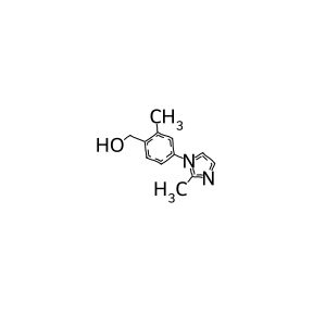 Cc1cc(-n2ccnc2C)ccc1CO